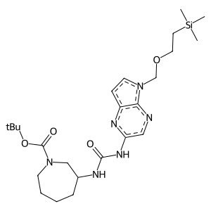 CC(C)(C)OC(=O)N1CCCCC(NC(=O)Nc2cnc3c(ccn3COCC[Si](C)(C)C)n2)C1